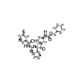 C[C@H](Nc1nc(C(=O)N2CC[C@H](NC(=O)OCc3ccccc3)C2)c2sccc2n1)c1cncc(F)c1